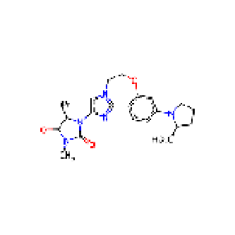 CC(C)C1C(=O)N(C)C(=O)N1c1cn2c(n1)-c1ccc(N3CCC[C@H]3C(=O)O)cc1OCC2